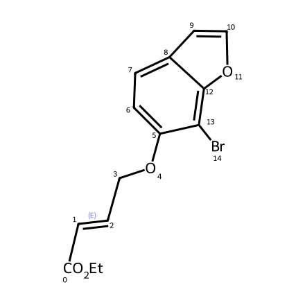 CCOC(=O)/C=C/COc1ccc2ccoc2c1Br